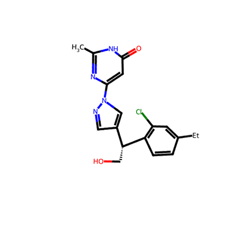 CCc1ccc([C@H](CO)c2cnn(-c3cc(=O)[nH]c(C)n3)c2)c(Cl)c1